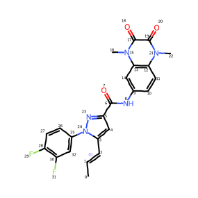 C/C=C/c1cc(C(=O)Nc2ccc3c(c2)n(C)c(=O)c(=O)n3C)nn1-c1ccc(F)c(F)c1